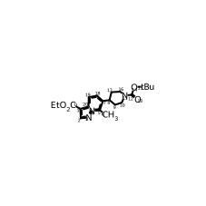 CCOC(=O)c1cnn2c(C)c(C3CCN(C(=O)OC(C)(C)C)CC3)ccc12